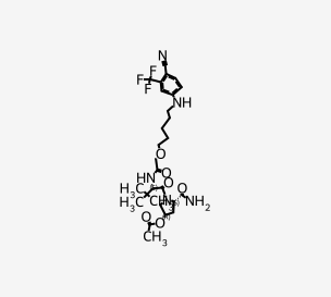 CC(=O)O[C@@H]1C[C@@H](C(N)=O)N(C(=O)[C@@H](NC(=O)COCCCCCNc2ccc(C#N)c(C(F)(F)F)c2)C(C)(C)C)C1